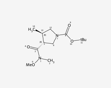 CON(C)C(=O)[C@H]1CN(C(=O)OC(C)(C)C)C[C@@H]1C